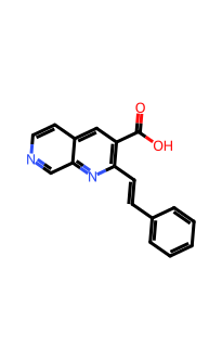 O=C(O)c1cc2ccncc2nc1C=Cc1ccccc1